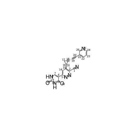 N#Cc1nnc(-c2c[nH]c(=O)[nH]c2=O)cc1[C@H]1C[C@@H]1C#Cc1cccnc1